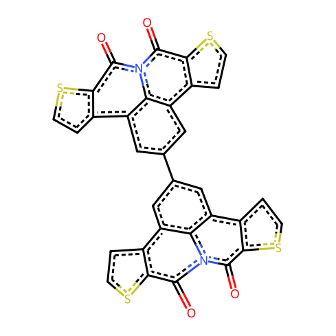 O=c1c2sccc2c2cc(-c3cc4c5ccsc5c(=O)n5c(=O)c6sccc6c(c3)c45)cc3c4ccsc4c(=O)n1c23